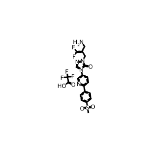 CS(=O)(=O)c1ccc(-c2ccc(-n3cnn(CC(CN)=C(F)F)c3=O)cn2)cc1.O=C(O)C(F)(F)F